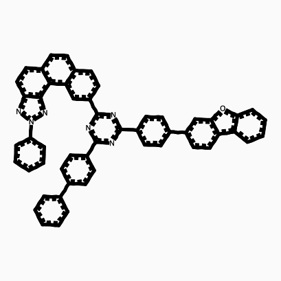 c1ccc(-c2ccc(-c3nc(-c4ccc(-c5ccc6c(c5)oc5ccccc56)cc4)nc(-c4ccc5ccc6ccc7nn(-c8ccccc8)nc7c6c5c4)n3)cc2)cc1